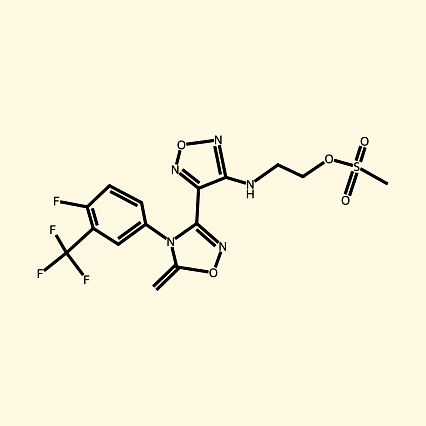 C=C1ON=C(c2nonc2NCCOS(C)(=O)=O)N1c1ccc(F)c(C(F)(F)F)c1